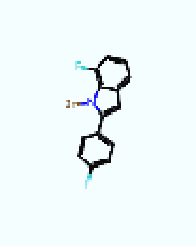 Fc1ccc(-c2cc3cccc(F)c3n2Br)cc1